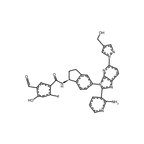 Nc1ncccc1-c1nc2ccc(-n3cc(CO)cn3)nc2n1-c1ccc2c(c1)CC[C@@H]2NC(=O)c1cc(C=O)c(O)cc1F